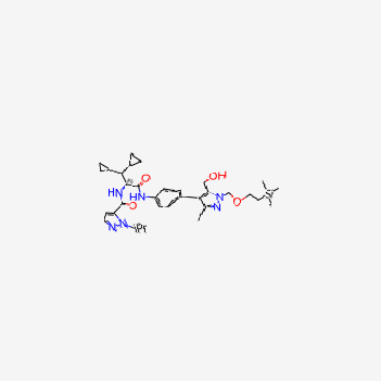 Cc1nn(COCC[Si](C)(C)C)c(CO)c1-c1ccc(NC(=O)[C@@H](NC(=O)c2ccnn2C(C)C)C(C2CC2)C2CC2)cc1